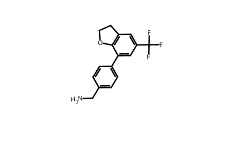 NCc1ccc(-c2cc(C(F)(F)F)cc3c2O[CH]C3)cc1